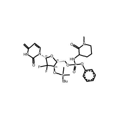 C=C1C=CN([C@@H]2O[C@H](COP(=O)(NC3CCCN(C)C3=O)Oc3ccccc3)[C@@H](O[Si](C)(C)C(C)(C)C)C2(F)F)C(=O)N1